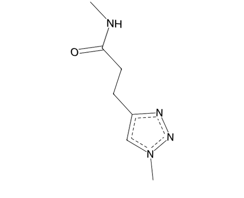 CNC(=O)CCc1cn(C)nn1